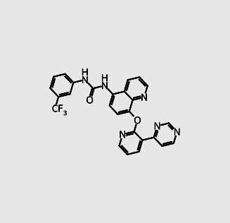 O=C(Nc1cccc(C(F)(F)F)c1)Nc1ccc(Oc2ncccc2-c2ccncn2)c2ncccc12